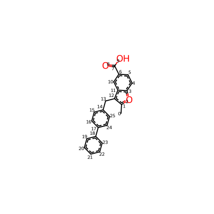 Cc1oc2ccc(C(=O)O)cc2c1Cc1ccc(-c2ccccc2)cc1